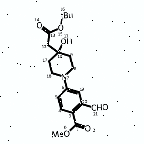 COC(=O)c1ccc(N2CCC(O)(CC(=O)OC(C)(C)C)CC2)cc1C=O